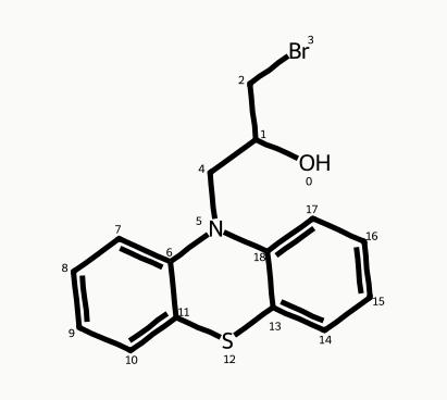 OC(CBr)CN1c2ccccc2Sc2ccccc21